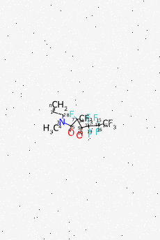 C=CCN(C)C(=O)C(F)(C(=O)C(F)(F)C(F)(F)C(F)(F)F)C(F)(F)F